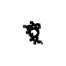 CCN(c1cc(Cl)cc2c1C/C=C\CCc1cc(C)[nH]c(=O)c1CNC2=O)C1CCOCC1